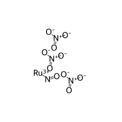 O=[N+]([O-])[O-].O=[N+]([O-])[O-].O=[N+]([O-])[O-].O=[N][Ru+3]